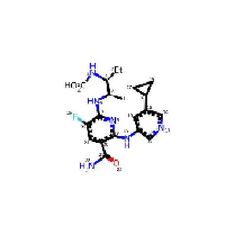 CC[C@H](NC(=O)O)[C@@H](C)Nc1nc(Nc2cncc(C3CC3)c2)c(C(N)=O)cc1F